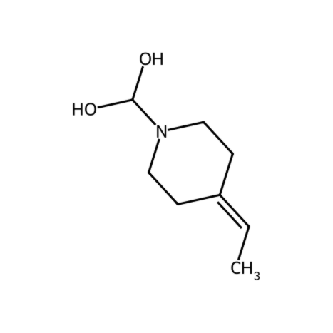 CC=C1CCN(C(O)O)CC1